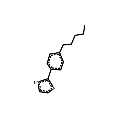 CCCCCc1ccc(-c2n[c]c[nH]2)cc1